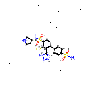 NS(=O)(=O)c1ccc(-c2ccc(S(=O)(=O)N[C@@H]3CCNC3)c(S)c2-c2nnn[nH]2)cc1